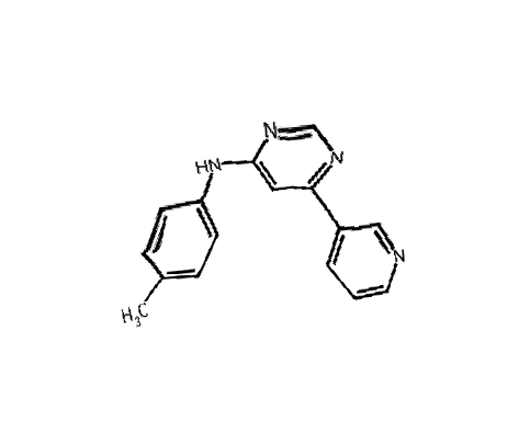 Cc1ccc(Nc2cc(-c3cccnc3)ncn2)cc1